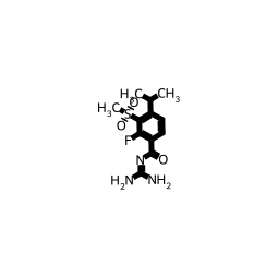 CC(C)c1ccc(C(=O)N=C(N)N)c(F)c1S(C)(=O)=O